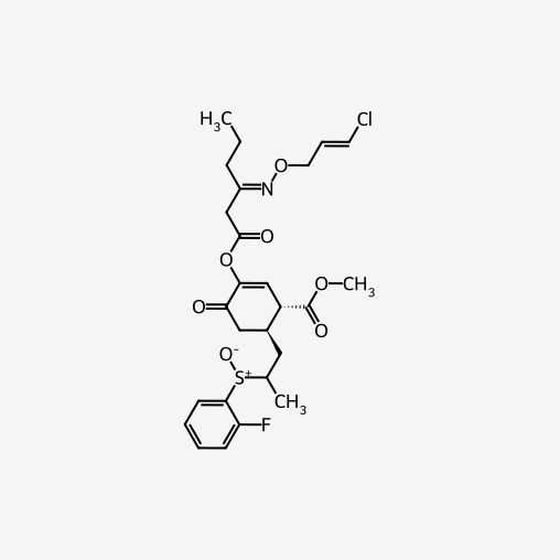 CCCC(CC(=O)OC1=C[C@H](C(=O)OC)[C@@H](CC(C)[S+]([O-])c2ccccc2F)CC1=O)=NOCC=CCl